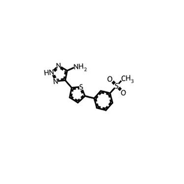 CS(=O)(=O)c1cccc(-c2ccc(-c3n[nH]nc3N)s2)c1